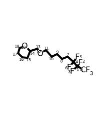 FC(F)(F)C(F)(F)C(F)(F)CCCCCOCC1CCCCO1